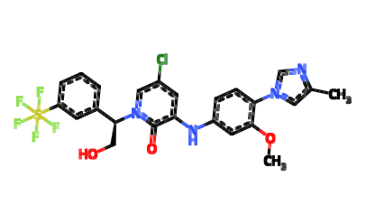 COc1cc(Nc2cc(Cl)cn([C@@H](CO)c3cccc(S(F)(F)(F)(F)F)c3)c2=O)ccc1-n1cnc(C)c1